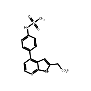 CS(=O)(=O)Nc1ccc(-c2ccnc3[nH]c(CC(=O)O)cc23)cc1